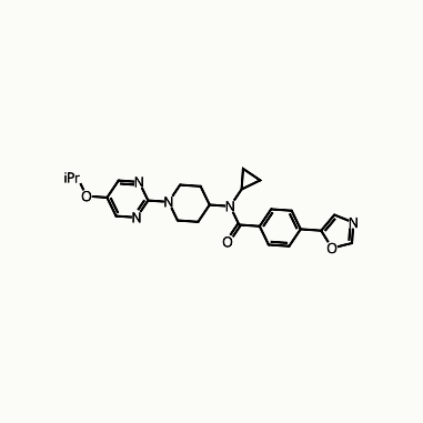 CC(C)Oc1cnc(N2CCC(N(C(=O)c3ccc(-c4cnco4)cc3)C3CC3)CC2)nc1